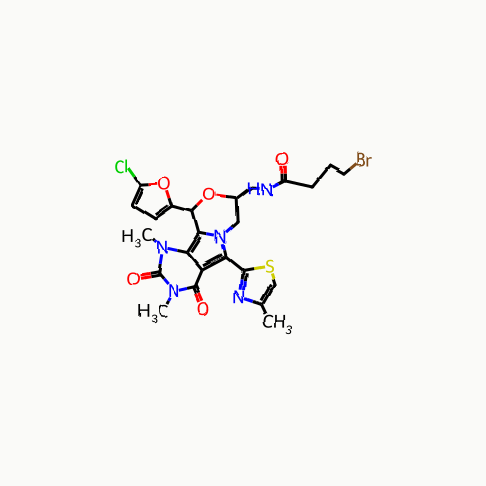 Cc1csc(-c2c3c(=O)n(C)c(=O)n(C)c3c3n2CC(CNC(=O)CCCBr)OC3c2ccc(Cl)o2)n1